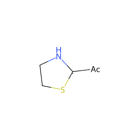 CC(=O)[C]1NCCS1